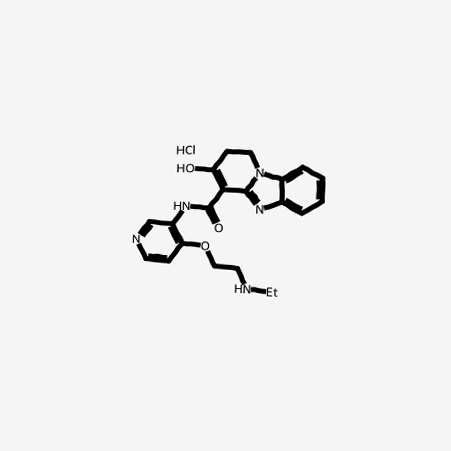 CCNCCOc1ccncc1NC(=O)C1=C(O)CCn2c1nc1ccccc12.Cl